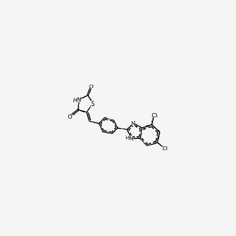 O=C1NC(=O)C(=Cc2ccc(-c3nc4c(Cl)cc(Cl)cc4[nH]3)cc2)S1